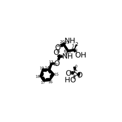 CS(=O)(=O)O.C[C@@H](O)[C@H](NC(=O)OCc1ccccc1)C(N)=O